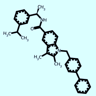 Cc1c(C)n(Cc2ccc(-c3ccccc3)cc2)c2ccc(C(=O)N[C@H](C)c3cccc(C(C)C)c3)cc12